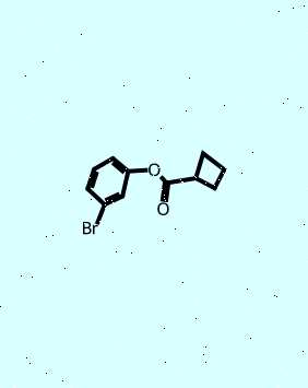 O=C(Oc1cccc(Br)c1)C1CCC1